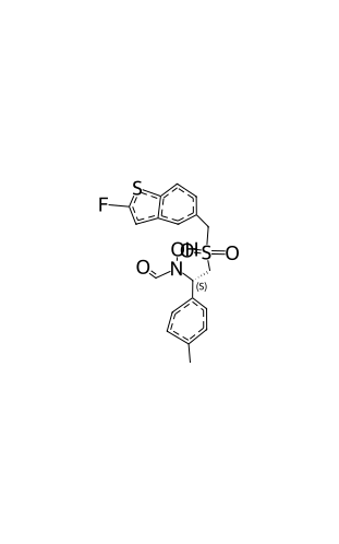 Cc1ccc([C@@H](CS(=O)(=O)Cc2ccc3sc(F)cc3c2)N(O)C=O)cc1